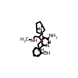 CCCC(CNC)CN1C2CCC1CN(c1cc(-c3ccccc3O)nnc1N)C2